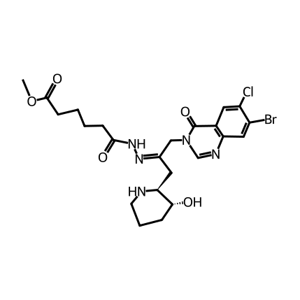 COC(=O)CCCCC(=O)N/N=C(/C[C@@H]1NCCC[C@H]1O)Cn1cnc2cc(Br)c(Cl)cc2c1=O